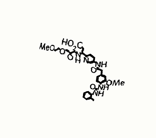 COCCOCC(=O)CNC(CC(=O)O)c1ccc(NC(=O)Cc2ccc(NC(=O)Nc3ccccc3C)c(OC)c2)cn1